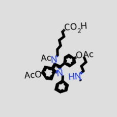 CC(=O)Oc1ccc(-c2c(N(CCCCCCC(=O)O)C(C)=O)c3cc(OC(C)=O)ccc3n2Cc2ccccc2)cc1.CCCCNC